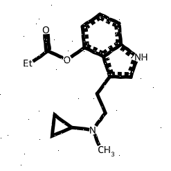 CCC(=O)Oc1cccc2[nH]cc(CCN(C)C3CC3)c12